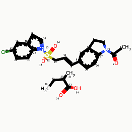 CC(=O)N1CCc2cc(C=CCS(=O)(=O)n3ccc4cc(Cl)ccc43)ccc21.CCC(C)C(=O)O